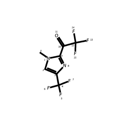 Cn1cc(C(F)(F)F)nc1C(=O)C(F)(F)F